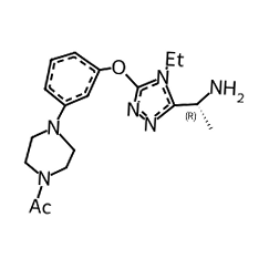 CCn1c(Oc2cccc(N3CCN(C(C)=O)CC3)c2)nnc1[C@@H](C)N